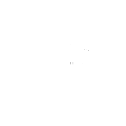 CNC(=O)C(CCCC1CCOCC1)NC(=O)C(C)C